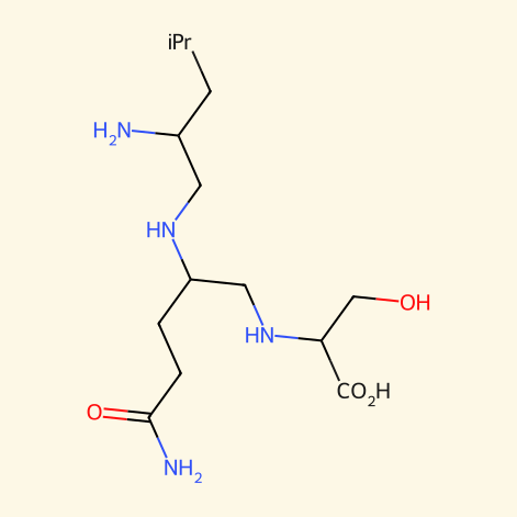 CC(C)CC(N)CNC(CCC(N)=O)CNC(CO)C(=O)O